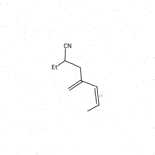 C=C(/C=C\C)CC(C#N)CC